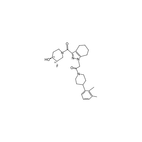 Cc1cccc(C2CCN(C(=O)Cn3nc(C(=O)N4CC[C@H](O)[C@@H](F)C4)c4c3CCCC4)CC2)c1C